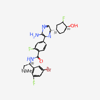 CNC[C@@H](NC(=O)c1ccc(-c2nc([C@H]3CC[C@H](O)C(F)C3)cnc2N)cc1F)c1cc(F)cc(Br)c1